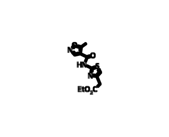 CCOC(=O)Cc1csc(NC(=O)c2cnoc2C)n1